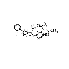 C[C@H](Nc1nccc(N2C(=O)OC[C@@H]2[C@@H](C)O)n1)c1nnc(-c2ccccc2F)o1